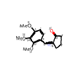 COc1ccc(/C=C2/CCCC2=O)c(OC)c1OC